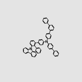 c1ccc(-c2ccc(N(c3ccc(-c4cccc(-c5ccccc5)c4)cc3)c3ccc(-c4cccc(-n5c6ccccc6c6ccccc65)c4-c4ccccc4)cc3)cc2)cc1